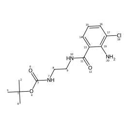 CC(C)(C)OC(=O)NCCNC(=O)c1cccc(Cl)c1N